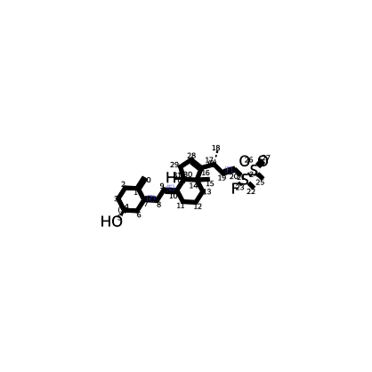 C=C1CC[C@H](O)C/C1=C/C=C1\CCCC2(C)C([C@H](C)/C=C/S(C)(F)S(C)(=O)=O)=CC[C@@H]12